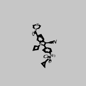 N#CC1c2ccc(C(=O)N3CCSCC3)cc2N(C2CCC2)C1c1ccc(NS(=O)(=O)C2CC2)cc1